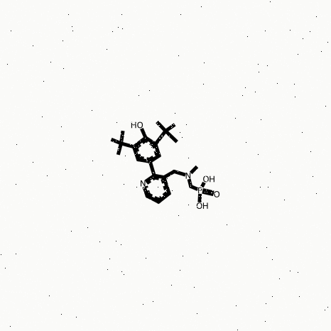 CN(Cc1cccnc1-c1cc(C(C)(C)C)c(O)c(C(C)(C)C)c1)CP(=O)(O)O